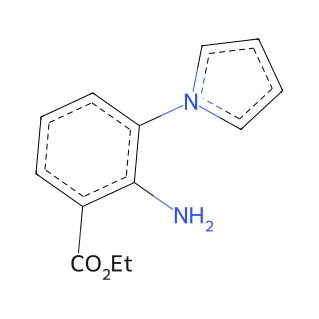 CCOC(=O)c1cccc(-n2cccc2)c1N